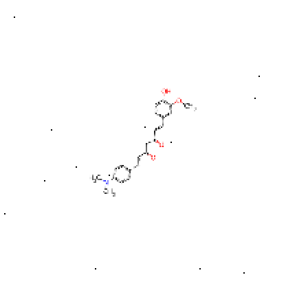 COc1cc(/C=C/C(=O)CC(=O)/C=C/c2ccc(N(C)C)cc2)ccc1O